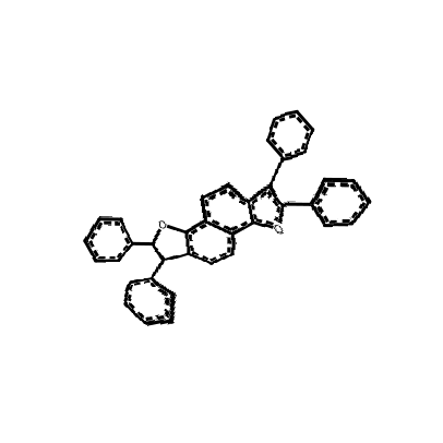 c1ccc(-c2oc3c(ccc4c5c(ccc43)C(c3ccccc3)C(c3ccccc3)O5)c2-c2ccccc2)cc1